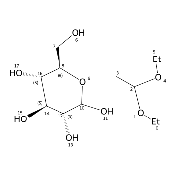 CCOC(C)OCC.OC[C@H]1OC(O)[C@H](O)[C@@H](O)[C@@H]1O